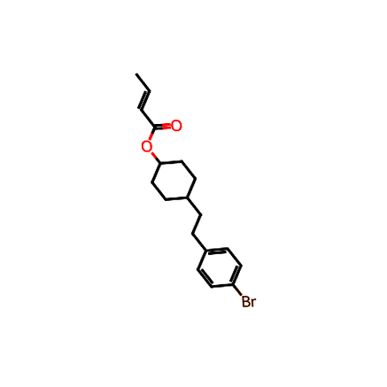 CC=CC(=O)OC1CCC(CCc2ccc(Br)cc2)CC1